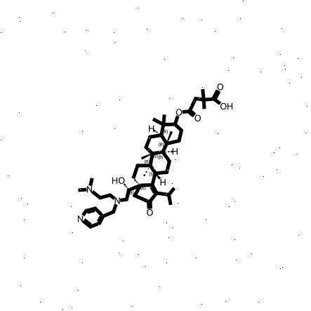 CC(C)C1=C2[C@H]3CC[C@@H]4[C@@]5(C)CCC(OC(=O)CC(C)(C)C(=O)O)C(C)(C)[C@@H]5CC[C@@]4(C)[C@]3(C)CC[C@@]2([C@@H](O)CN(CCN(C)C)Cc2ccncc2)CC1=O